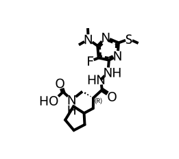 CSc1nc(NNC(=O)[C@@H](CNC(=O)O)CC2CCCC2)c(F)c(N(C)C)n1